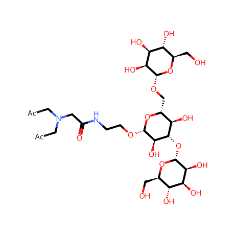 CC(=O)CN(CC(C)=O)CC(=O)NCCO[C@@H]1O[C@H](CO[C@H]2O[C@H](CO)[C@@H](O)[C@H](O)[C@@H]2O)[C@@H](O)[C@H](O[C@H]2O[C@H](CO)[C@@H](O)[C@H](O)[C@@H]2O)[C@H]1O